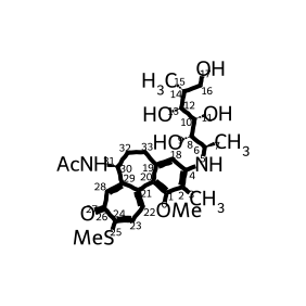 COc1c(C)c(N[C@H](C)[C@H](O)[C@@H](O)[C@H](O)[C@H](C)CO)cc2c1-c1ccc(SC)c(=O)cc1[C@@H](NC(C)=O)CC2